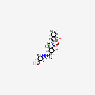 Cc1cc(C(=O)NCc2cccc(O)c2)cc(Cl)c1C(=O)NC(=Cc1ccccc1)C(=O)O